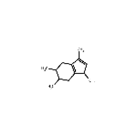 CC1=[C]C(C)C2=C1CC(C)C(C)C2